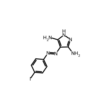 Nc1n[nH]c(N)c1N=Nc1ccc(I)cc1